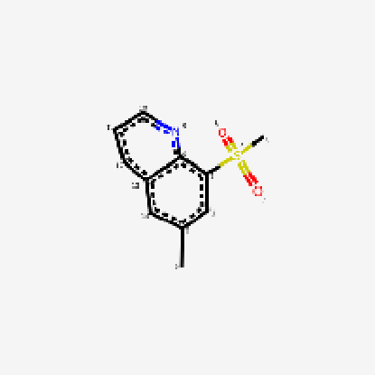 Cc1cc(S(C)(=O)=O)c2ncccc2c1